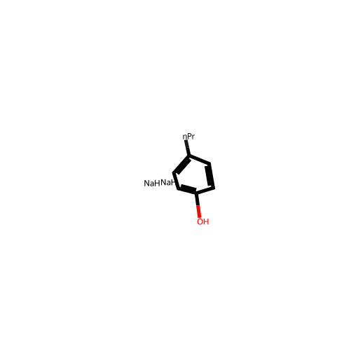 CCCc1ccc(O)cc1.[NaH].[NaH]